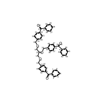 O=C(c1ccccc1)c1ccc(COCC(COCc2ccc(C(=O)c3ccccc3)cc2)OCc2ccc(C(=O)c3ccccc3)cc2)cc1